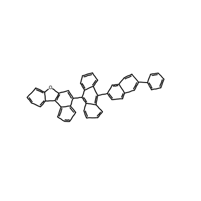 c1ccc(-c2ccc3cc(-c4c5ccccc5c(-c5cc6oc7ccccc7c6c6ccccc56)c5ccccc45)ccc3c2)cc1